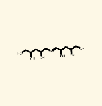 OCC(O)CC(O)C=NCC(O)CC(O)CO